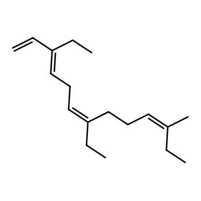 C=CC(=CCC=C(CC)CCC=C(C)CC)CC